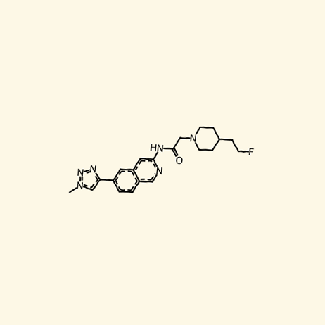 Cn1cc(-c2ccc3cnc(NC(=O)CN4CCC(CCF)CC4)cc3c2)nn1